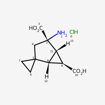 Cl.N[C@@]1(C(=O)O)CC2(CC2)[C@H]2[C@H](C(=O)O)[C@H]21